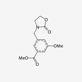 COC(=O)c1cc(CN2CCOC2=O)cc(OC)c1